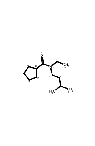 [CH2]CN(OCC(C)C)C(=O)C1CCCC1